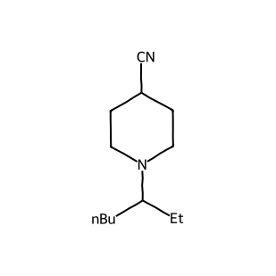 CCCCC(CC)N1CCC(C#N)CC1